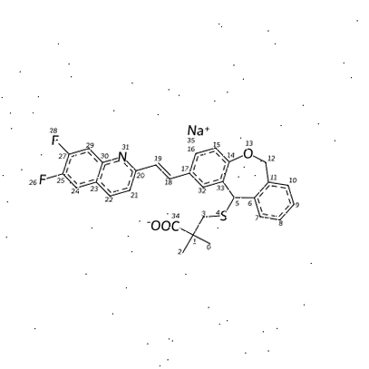 CC(C)(CSC1c2ccccc2COc2ccc(C=Cc3ccc4cc(F)c(F)cc4n3)cc21)C(=O)[O-].[Na+]